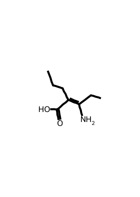 CCC/C(C(=O)O)=C(/N)CC